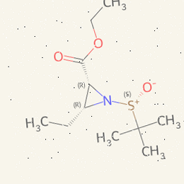 CCOC(=O)[C@H]1[C@@H](CC)N1[S@+]([O-])C(C)(C)C